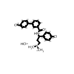 CN(C)CCC(NC(=O)c1cccc(-c2ccc(Cl)cc2)c1)c1ccc(Cl)cc1.Cl